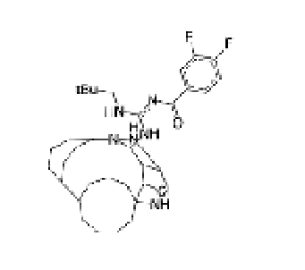 CC(C)(C)CN/C(=N/C(=O)c1ccc(F)c(F)c1)NC1C2C3CNC4(CCCCC(CCC4)C4CCCC(CC4)N1N3)C2Cl